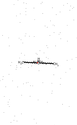 CCCCCCCCCCCCCCCCOCCCCCCCCCCCCCCCC.CNC